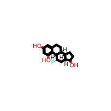 Oc1cc(O)c2c(c1)CC[C@H]1[C@@H]3CCC(O)[C@H]3C[C@H](F)[C@H]21